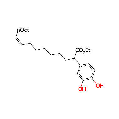 CCCCCCCC/C=C\CCCCCCC(C(=O)OCC)c1ccc(O)c(O)c1